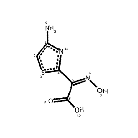 Nc1csc(C(=NO)C(=O)O)n1